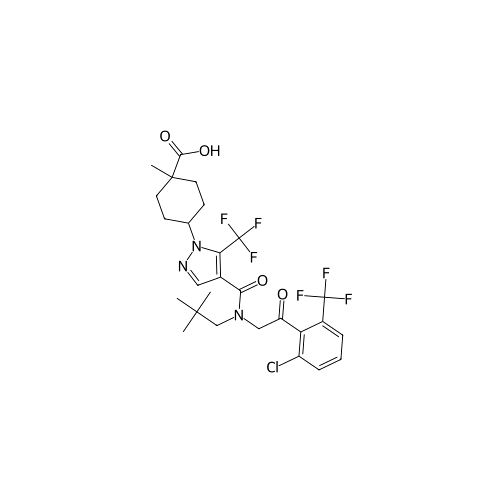 CC(C)(C)CN(CC(=O)c1c(Cl)cccc1C(F)(F)F)C(=O)c1cnn(C2CCC(C)(C(=O)O)CC2)c1C(F)(F)F